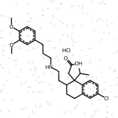 COc1ccc(CCCNCCC2CCc3cc(Cl)ccc3C2(CC(=O)O)C(C)C)cc1OC.Cl